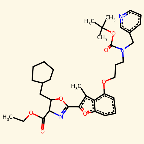 CCOC(=O)C1N=C(c2oc3cccc(OCCCN(Cc4cccnc4)C(=O)OC(C)(C)C)c3c2C)OC1CC1CCCCC1